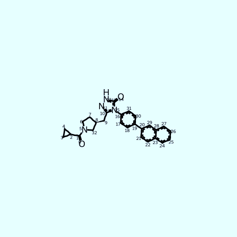 O=C(C1CC1)N1CC[C@@H](Cc2n[nH]c(=O)n2-c2ccc(-c3ccc4ccccc4c3)cc2)C1